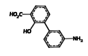 Nc1cccc(-c2cccc(C(=O)O)c2O)c1